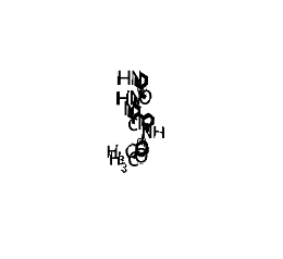 CC1(C)C[C@H](CNc2cccc(-c3cc(NC(=O)[C@@H]4CCCNC4)ncc3Cl)c2)CCO1